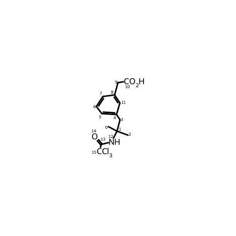 CC(C)(Cc1cccc(CC(=O)O)c1)NC(=O)C(Cl)(Cl)Cl